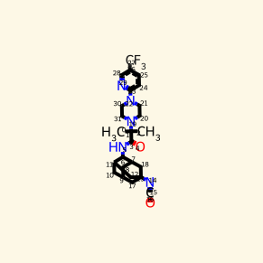 CC(C)(C(=O)NC1C2CC3CC1CC(N=C=O)(C3)C2)N1CCN(c2ccc(C(F)(F)F)cn2)CC1